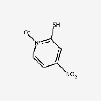 O=[N+]([O-])c1cc[n+]([O-])c(S)c1